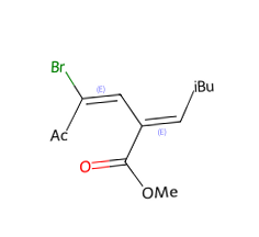 CCC(C)/C=C(\C=C(\Br)C(C)=O)C(=O)OC